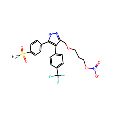 CS(=O)(=O)c1ccc(-c2[nH]nc(COCCCO[N+](=O)[O-])c2-c2ccc(C(F)(F)F)cc2)cc1